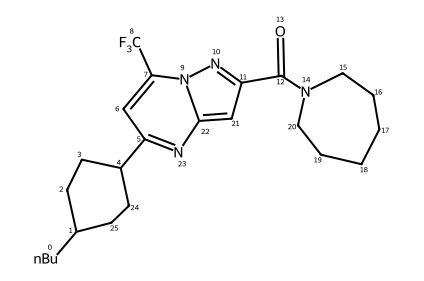 CCCCC1CCC(c2cc(C(F)(F)F)n3nc(C(=O)N4CCCCCC4)cc3n2)CC1